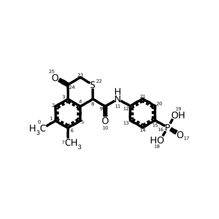 Cc1cc2c(cc1C)C(C(=O)Nc1ccc(P(=O)(O)O)cc1)SCC2=O